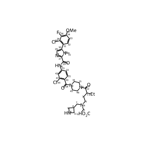 CCC(CCN(CC(=O)O)CC1CNC1)C(=O)N1CCN(C(=O)c2ccc(NC(=O)c3ncc(-c4ccc(OC)c(F)c4Cl)n3C)cc2Cl)CC1